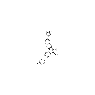 CN1CCN(Cc2cc(C(Nc3cc4cc(-c5cnn(C)c5)ccc4cn3)C3CC3)ccn2)CC1